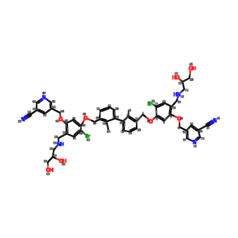 Cc1c(COc2cc(OCc3cncc(C#N)c3)c(CNCC(O)CO)cc2Br)cccc1-c1cccc(COc2cc(OCc3cncc(C#N)c3)c(CNCC(O)CO)cc2Br)c1C